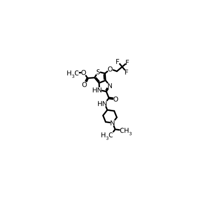 COC(=O)c1sc(OCC(F)(F)F)c2nc(C(=O)NC3CCN(C(C)C)CC3)[nH]c12